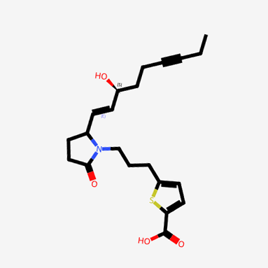 CCC#CCC[C@H](O)/C=C/C1CCC(=O)N1CCCc1ccc(C(=O)O)s1